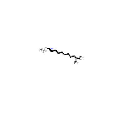 C/C=C/CCCCCCCP(CC)CC